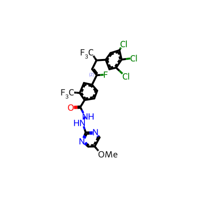 COc1cnc(NNC(=O)c2ccc(/C(F)=C/C(c3cc(Cl)c(Cl)c(Cl)c3)C(F)(F)F)cc2C(F)(F)F)nc1